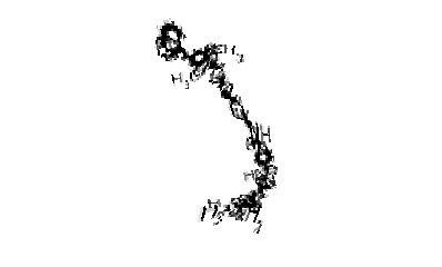 COc1cc(/C=C/C(=O)N2CCC=CC2=O)cc(OC)c1OCCOCCOCCOCCNC(=O)CN1CCC(C(=O)Nc2ncc(SCc3ncc(C(C)(C)C)o3)s2)CC1